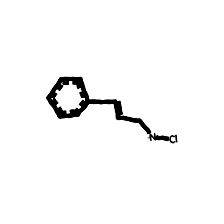 Cl[N]C/C=C/c1ccccc1